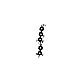 CCCc1ccc(-c2ccc(-c3cc(F)c(OCc4ccc(-c5cc(F)c(F)c(F)c5)cc4)c(F)c3)c(F)c2)cc1